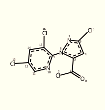 O=C(Cl)c1cc(Cl)nn1-c1ncc(Cl)cc1Cl